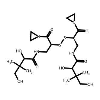 CC(C)(CO)C(O)C(=O)NCC(SS[C@H](CNC(=O)C(O)C(C)(C)CO)C(=O)N1CC1)C(=O)N1CC1